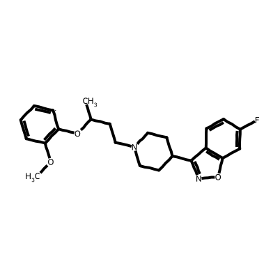 COc1ccc[c]c1OC(C)CCN1CCC(c2noc3cc(F)ccc23)CC1